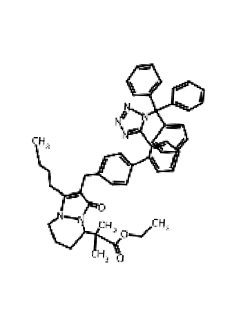 CCCCc1c(Cc2ccc(-c3ccccc3-c3nnnn3C(c3ccccc3)(c3ccccc3)c3ccccc3)cc2)c(=O)n2n1CCCC2C(C)(C)C(=O)OCC